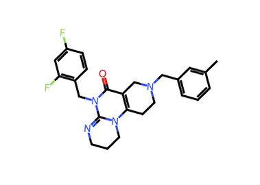 Cc1cccc(CN2CCC3=C(C2)C(=O)N(Cc2ccc(F)cc2F)C2=NCCCN23)c1